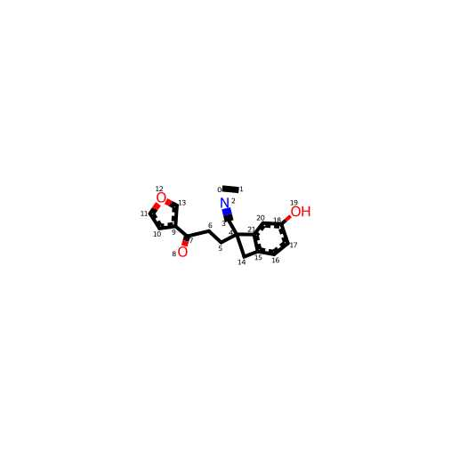 C=C.N#CC1(CCC(=O)c2ccoc2)Cc2ccc(O)cc21